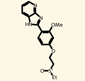 CC[S+]([O-])CCOc1ccc(-c2nc3ncccc3[nH]2)c(OC)c1